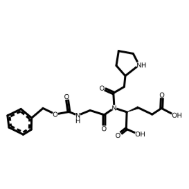 O=C(O)CC[C@@H](C(=O)O)N(C(=O)CNC(=O)OCc1ccccc1)C(=O)CC1CCCN1